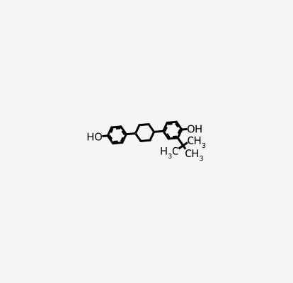 CC(C)(C)c1cc(C2CCC(c3ccc(O)cc3)CC2)ccc1O